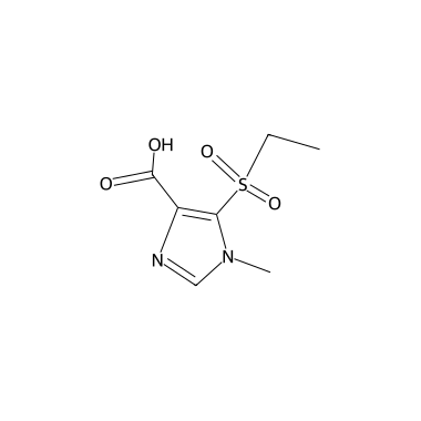 CCS(=O)(=O)c1c(C(=O)O)ncn1C